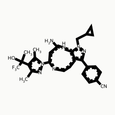 Cc1nn(-c2cc(N)[nH]c3c(ccn2)c(-c2ccc(C#N)cc2)nn3CC2CC2)c(C)c1C(C)(O)C(F)(F)F